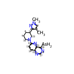 Cc1cn(C)nc1C1CCCN(c2ccc3ncnc([AsH2])c3n2)C1